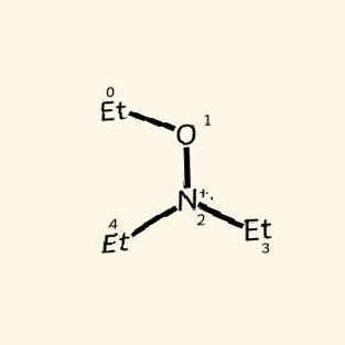 CCO[N+](CC)CC